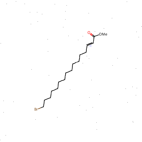 COC(=O)/C=C/CCCCCCCCCCCCCBr